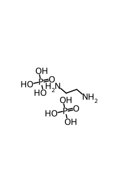 NCCN.O=P(O)(O)O.O=P(O)(O)O